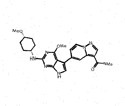 CNC(=O)c1cnn2ccc(-c3c[nH]c4nc(N[C@H]5CC[C@@H](OC)CC5)nc(OC)c34)cc12